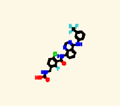 O=C(O)NCc1ccc(Cl)c(C(=O)Nc2cccc3c(Nc4cccc(C(F)(F)F)c4)ncnc23)c1F